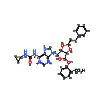 O=C(Nc1ncnc2c1ncn2C1OC(Oc2ccccc2C(=O)O)C2O[C@H](/C=C/c3ccccc3)OC21)NC1CC1